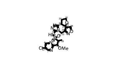 COC(c1ncc(Cl)cn1)C(C)S(=O)(=O)Nc1nnc([C@@H]2CCOC2)n1Cc1ccon1